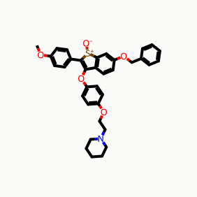 COc1ccc(-c2c(Oc3ccc(OCCN4CCCCC4)cc3)c3ccc(OCc4ccccc4)cc3[s+]2[O-])cc1